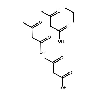 CC(=O)CC(=O)O.CC(=O)CC(=O)O.CC(=O)CC(=O)O.CCC